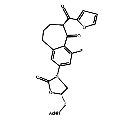 CC(=O)NC[C@H]1CN(c2cc(F)c3c(c2)CCC[C@@H](C(=O)c2ccco2)C3=O)C(=O)O1